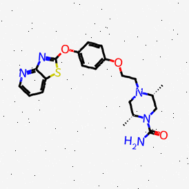 C[C@@H]1CN(C(N)=O)[C@H](C)CN1CCOc1ccc(Oc2nc3ncccc3s2)cc1